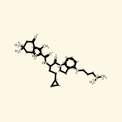 Cc1c(C(=O)NC(CCC2CC2)C(=O)N2CCc3c(OCCCN(C)C)cccc32)[nH]c2c1C(=O)CC(C)(C)C2